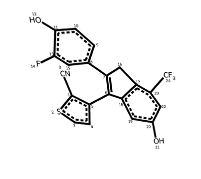 N#Cc1sccc1C1=C(c2ccc(O)c(F)c2)Cc2c1cc(O)cc2C(F)(F)F